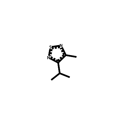 Cc1nsnc1C(C)C